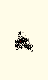 COc1ccc(COC(=O)[C@@H](Cc2ccccc2OCc2ccnc(-c3ccccc3OC)n2)Oc2ncnc3sc(-c4ccc(F)cc4)c(-c4ccc(OCCN5CC[N+](C)(Cc6oc(=O)oc6C)CC5)c(Cl)c4C)c23)cc1.O=C([O-])C(F)(F)F